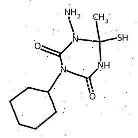 CC1(S)NC(=O)N(C2CCCCC2)C(=O)N1N